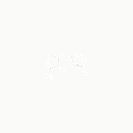 Cn1c(Cn2cnc(Br)n2)cnc1[N+](=O)[O-]